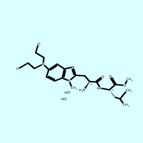 COC(=O)[C@H](CC(C)C)NC(=O)[C@@H](N)Cc1nc2cc(N(CCCl)CCCl)ccc2n1C.Cl.Cl